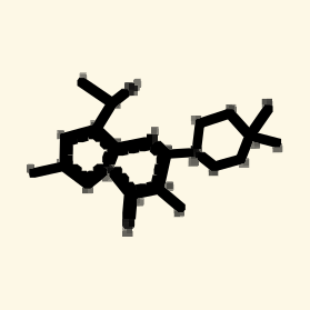 Cc1cc(C(C)Br)c2nc(N3CCC(C)(C)CC3)c(C)c(=O)n2c1